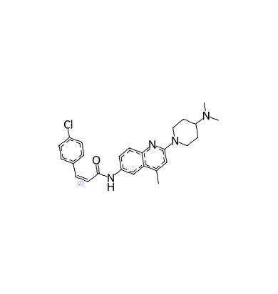 Cc1cc(N2CCC(N(C)C)CC2)nc2ccc(NC(=O)/C=C\c3ccc(Cl)cc3)cc12